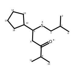 CC(C)CSC(CC(=O)C(C)C)C1CCCC1